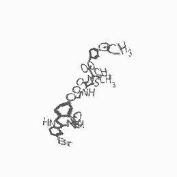 COc1ccc(COC(=O)C2N3C(=O)C(NC(=O)COc4ccc5c(c4)S(=O)(=O)Nc4c-5[nH]c5ccc(Br)cc45)C3SC2(C)C)cc1